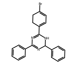 BrC1=CC=C(C2=NC(c3ccccc3)=NC(c3ccccc3)N2)CC1